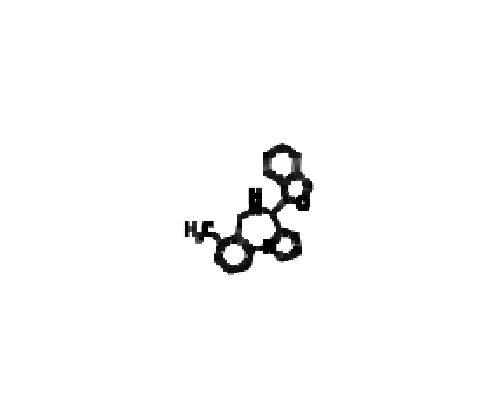 Cc1cccc2c1CNC(c1occ3ccccc13)c1cccn1-2